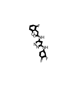 O=C(Cc1c(F)cccc1Cl)Nc1cnnc(Nc2ccc(F)c(F)c2)c1